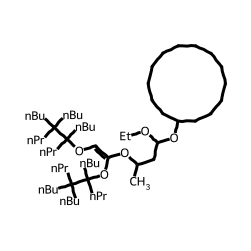 CCCCC(CCC)(CCCC)C(CCC)(CCCC)O/C=C(/OC(C)CC(OCC)OC1CCCCCCCCCCCCC1)OC(CCC)(CCCC)C(CCC)(CCCC)CCCC